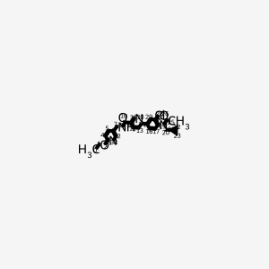 CCOc1ccc(CNC(=O)c2ccc(-c3ccc(N(CC4CC4)C(C)=O)c(Cl)c3)nc2)cn1